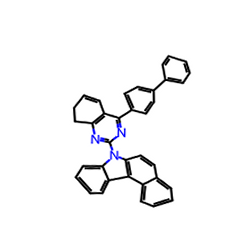 C1=Cc2c(nc(-n3c4ccccc4c4c5ccccc5ccc43)nc2-c2ccc(-c3ccccc3)cc2)CC1